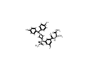 C[C@H](NC(=O)c1cc(F)cc(N(C2CN(C(c3ccc(F)cc3)c3ccc(F)cc3)C2)S(C)(=O)=O)c1)C(N)=O